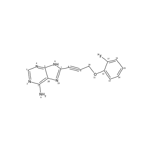 Nc1ncnc2[nH]c(C#CCOc3ccccc3F)nc12